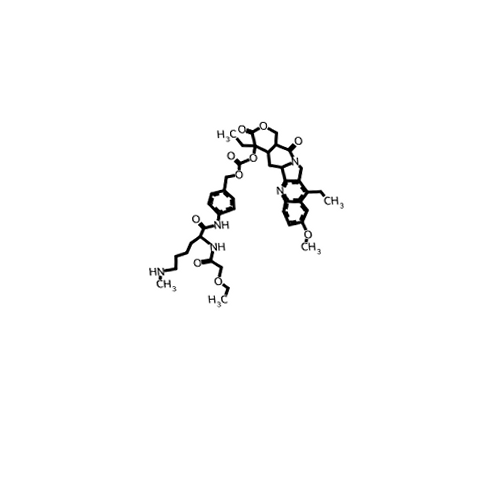 CCOCC(=O)NC(CCCCNC)C(=O)Nc1ccc(COC(=O)OC2(CC)C(=O)OCC3C(=O)N4Cc5c(nc6ccc(OC)cc6c5CC)C4CC32)cc1